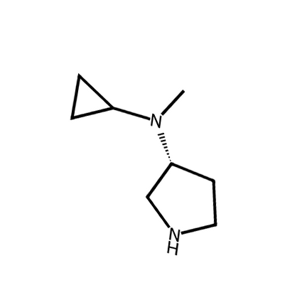 CN(C1CC1)[C@@H]1CCNC1